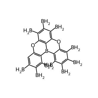 Bc1cc2c(c(B)c1B)B1c3c(B)c(B)c(B)c(B)c3Oc3c(B)c(B)c(B)c(c31)O2